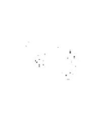 CNC(=O)COc1cc2cc(Nc3nc(N4CC5(CCC(Nc6cccc7c(C8CCC(=O)NC8=O)nn(C)c67)CC5)C4)ncc3Cl)ccc2n(C)c1=O